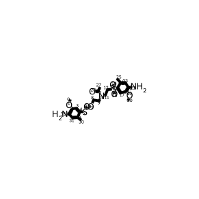 COc1cc(SOOCCN(CCS(=O)(=O)c2cc(OC)c(N)cc2C)C(C)=O)c(C)cc1N